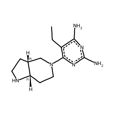 CCc1c(N)nc(N)nc1N1CC[C@@H]2NCC[C@@H]2C1